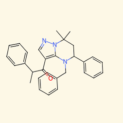 CC(C(=O)c1cnn2c1N(Cc1ccccc1)C(c1ccccc1)CC2(C)C)c1ccccc1